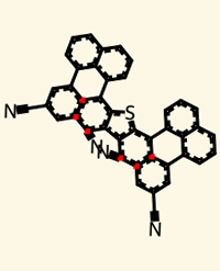 N#Cc1cc(C#N)cc(-c2cccc3cccc(-c4cccc5c4sc4c(-c6cccc7cccc(-c8cc(C#N)cc(C#N)c8)c67)cccc45)c23)c1